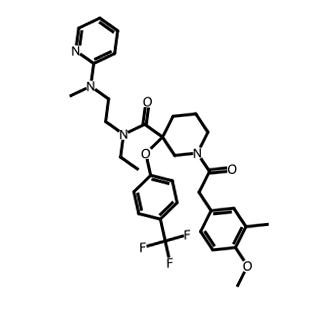 CCN(CCN(C)c1ccccn1)C(=O)C1(Oc2ccc(C(F)(F)F)cc2)CCCN(C(=O)Cc2ccc(OC)c(C)c2)C1